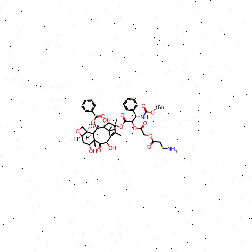 CC(=O)O[C@@]12CO[C@@H]1C[C@H](O)[C@@]1(C)C(=O)[C@H](O)C3=C(C)[C@@](C)(OC(=O)[C@H](OC(=O)COC(=O)CCN)[C@@H](NC(=O)OC(C)(C)C)c4ccccc4)C[C@](O)([C@@H](OC(=O)c4ccccc4)[C@H]21)C3(C)C